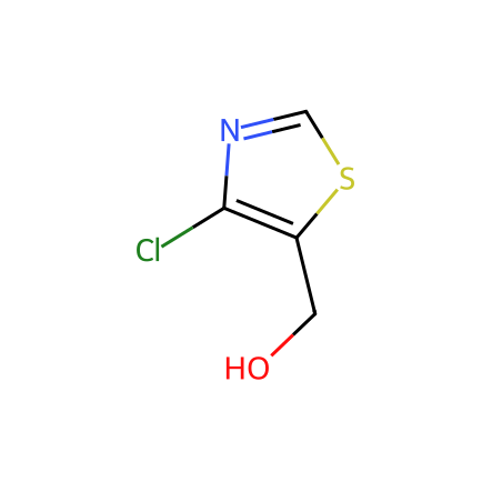 OCc1scnc1Cl